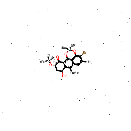 COc1c2c(c3c4c(c(Br)c(C)cc14)O[Si](C(C)(C)C)(C(C)(C)C)O3)C(=O)[C@@H](O[Si](C)(C)C(C)(C)C)C[C@@H]2O